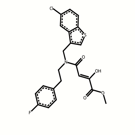 COC(=O)/C(O)=C/C(=O)N(CCc1ccc(F)cc1)Cc1csc2ccc(Cl)cc12